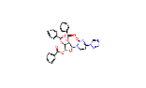 C[C@]1(OC(=O)c2ccccc2)C(n2ccc(-n3cncn3)nc2=O)O[C@H](OC(=O)c2ccccc2)[C@H]1OC(=O)c1ccccc1